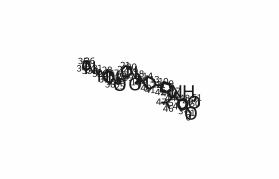 COc1ccc(-c2[nH]c3ccc(C4CCN(C(=O)CN5CCC[C@H](C(=O)N6CCN(CCN7CCCC7)CC6)C5)CC4)cc3c2C(C)C)cc1OC